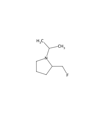 CC(C)N1CCCC1CF